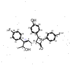 CC(O)/C(=C\C[C@H]1C(=O)N(c2ccc(F)cc2)C1c1ccc(O)cc1)c1ccc(F)cc1